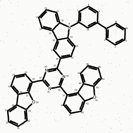 c1ccc(-c2cccc(-n3c4ccccc4c4cc(-c5nc(-c6cccc7c6oc6ccccc67)nc(-c6cccc7oc8ccccc8c67)n5)ccc43)c2)cc1